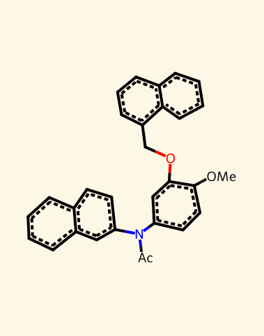 COc1ccc(N(C(C)=O)c2ccc3ccccc3c2)cc1OCc1cccc2ccccc12